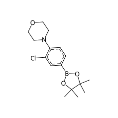 CC1(C)OB(c2ccc(N3CCOCC3)c(Cl)c2)OC1(C)C